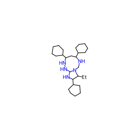 CCC1C(C2CCCCC2)NC2NNC(C3CCCCC3)CC(C3CCCCC3)NCN21